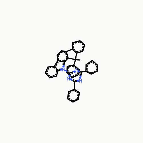 CC1(c2ccccc2)c2ccccc2-c2ccc3c4ccccc4n(-c4nc(-c5ccccc5)nc(-c5ccccc5)n4)c3c21